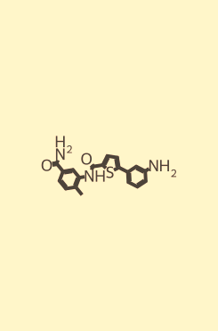 Cc1ccc(C(N)=O)cc1NC(=O)c1ccc(-c2cccc(N)c2)s1